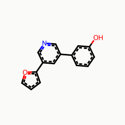 Oc1cccc(-c2cncc(-c3ccco3)c2)c1